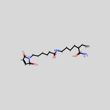 CC(C)CC(CCCCNC(=O)CCCCCN1C(=O)C=CC1=O)C(N)=O